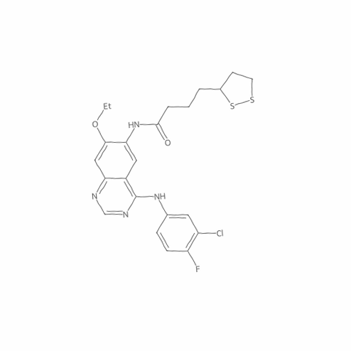 CCOc1cc2ncnc(Nc3ccc(F)c(Cl)c3)c2cc1NC(=O)CCCC1CCSS1